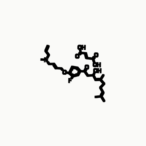 C=CCN(C)C/C=C/COc1ccc(C(=O)CC(O)/C=C(\C)CCC=C(C)C)cc1F.O=C(O)/C=C/C(=O)O